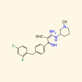 N#CN1CCCC(N/C(N)=C(/C=O)C(=N)c2ccc(Cc3ccc(F)cc3F)cc2)C1